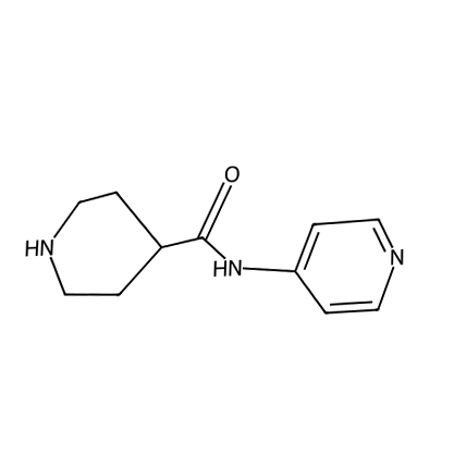 O=C(Nc1ccncc1)C1CCNCC1